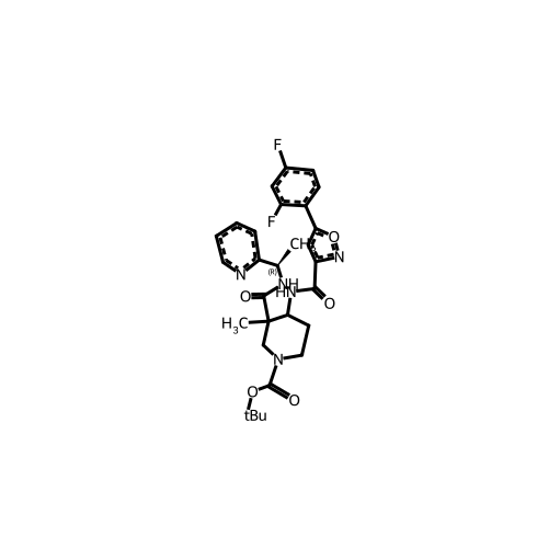 C[C@@H](NC(=O)C1(C)CN(C(=O)OC(C)(C)C)CCC1NC(=O)c1cc(-c2ccc(F)cc2F)on1)c1ccccn1